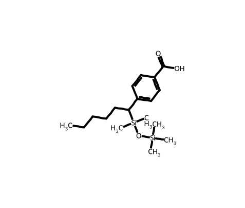 CCCCCC(c1ccc(C(=O)O)cc1)[Si](C)(C)O[Si](C)(C)C